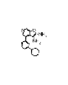 Nc1oc2cncc(-c3cccc(C4CCCCC4)c3)c2c1N